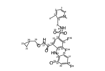 Cc1cccnc1CNS(=O)(=O)c1cc(C(=O)NOCC2CC2)c(Nc2ccc(I)cc2Cl)c(F)c1F